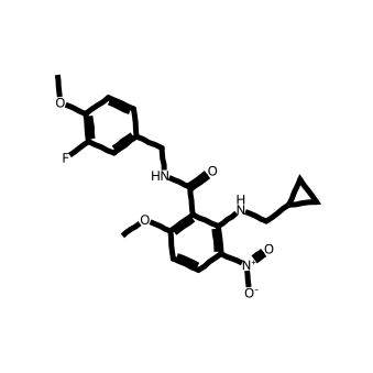 COc1ccc(CNC(=O)c2c(OC)ccc([N+](=O)[O-])c2NCC2CC2)cc1F